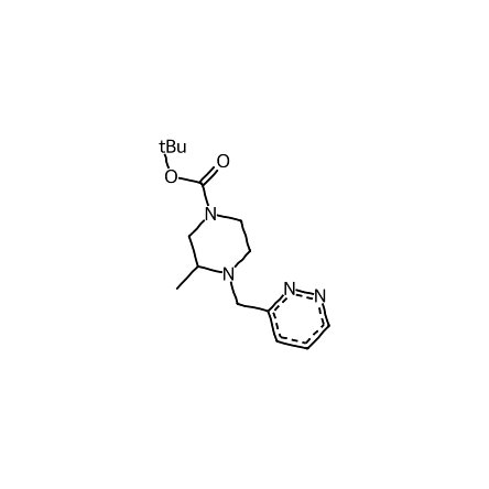 CC1CN(C(=O)OC(C)(C)C)CCN1Cc1cccnn1